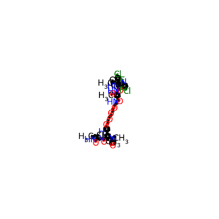 CCN(c1cc(-c2ccc(OCCOCCOCCOCCNC(=O)c3ccc(NC(=O)[C@@H]4N[C@@H](CC(C)(C)C)[C@](C#N)(c5ccc(Cl)cc5F)[C@H]4c4cccc(Cl)c4F)c(OC)c3)cc2)cc(C(=O)NCc2c(C)cc(C)[nH]c2=O)c1C)C1CCOCC1